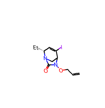 C=CCON1C(=O)N2CC1C(I)=C[C@H]2CC